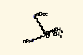 CCC/C=C/CCCCC[C@@]1(CCCCCCCC/C=C\CCCCCCCCCC)OCC(CN(C)C)O1